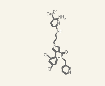 Nc1nc(NCCCn2cc(C(=O)NCc3cccnc3)c(-c3ccc(Cl)cc3Cl)c2)ccc1[N+](=O)[O-]